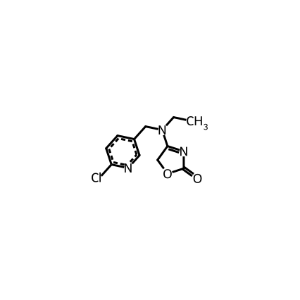 CCN(Cc1ccc(Cl)nc1)C1=NC(=O)OC1